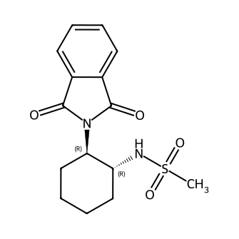 CS(=O)(=O)N[C@@H]1CCCC[C@H]1N1C(=O)c2ccccc2C1=O